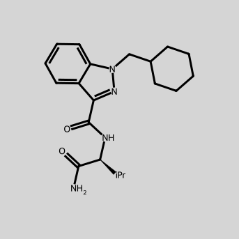 CC(C)[C@H](NC(=O)c1nn(CC2CCCCC2)c2ccccc12)C(N)=O